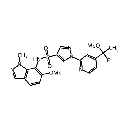 CCC(C)(OC)c1ccnc(-n2cc(S(=O)(=O)Nc3c(OC)ccc4cnn(C)c34)cn2)c1